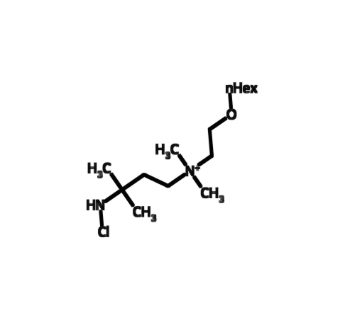 CCCCCCOCC[N+](C)(C)CCC(C)(C)NCl